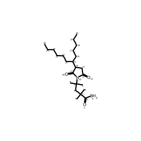 BC(=O)C(C)(C)CC(C)(C)N1C(=O)CC(C(CCCCC)CCCCCC)C1=O